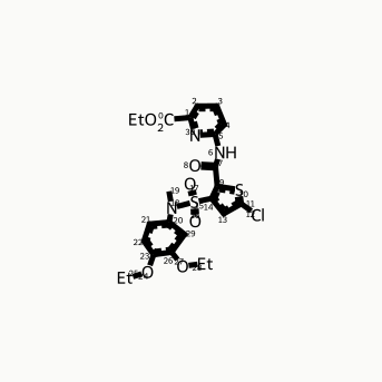 CCOC(=O)c1cccc(NC(=O)c2sc(Cl)cc2S(=O)(=O)N(C)c2ccc(OCC)c(OCC)c2)n1